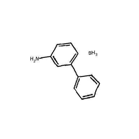 B.Nc1cccc(-c2ccccc2)c1